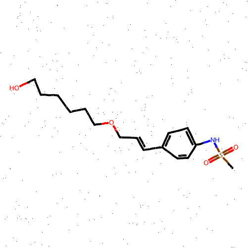 CS(=O)(=O)Nc1ccc(C=CCOCCCCCCO)cc1